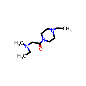 CCN(C)CC(=O)N1CCN(CC)CC1